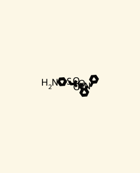 Nc1ccc(SCC(=O)OC(=O)c2ccccc2NCc2ccccc2)cc1